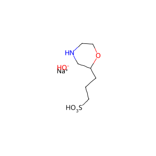 O=S(=O)(O)CCCC1CNCCO1.[Na+].[OH-]